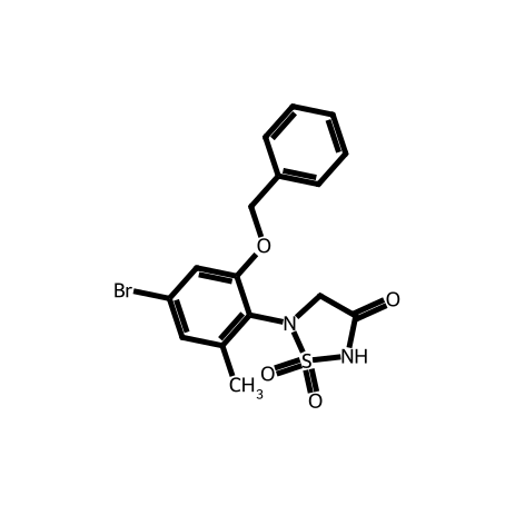 Cc1cc(Br)cc(OCc2ccccc2)c1N1CC(=O)NS1(=O)=O